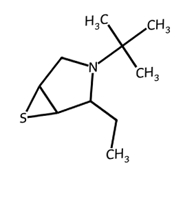 CCC1C2SC2CN1C(C)(C)C